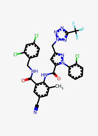 Cc1cc(C#N)cc(C(=O)NCc2ccc(Cl)cc2Cl)c1NC(=O)c1cc(Cn2nnc(C(F)(F)F)n2)nn1-c1ccccc1Cl